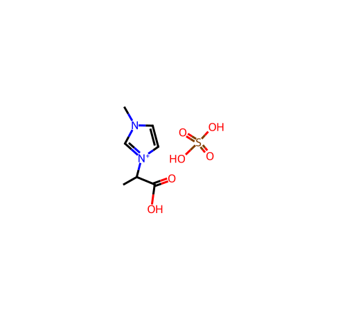 CC(C(=O)O)[n+]1ccn(C)c1.O=S(=O)(O)O